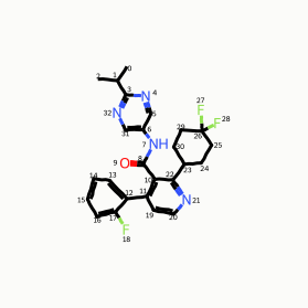 CC(C)c1ncc(NC(=O)c2c(-c3ccccc3F)ccnc2C2CCC(F)(F)CC2)cn1